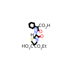 CCOC(=O)C1(C(=O)O)CS[C@@H]2C(NC(=O)C(C(=O)O)c3ccccc3)C(=O)N2C1